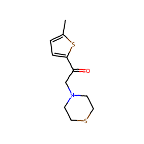 Cc1ccc(C(=O)CN2CCSCC2)s1